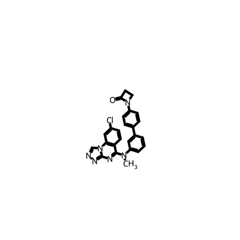 CN(c1cccc(-c2ccc(N3CCC3=O)cc2)c1)c1nc2nncn2c2cc(Cl)ccc12